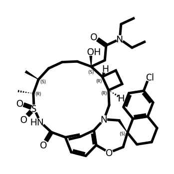 CCN(CC)C(=O)C[C@@]1(O)CCC[C@H](C)[C@@H](C)S(=O)(=O)NC(=O)c2ccc3c(c2)N(C[C@@H]2CC[C@H]21)C[C@@]1(CCCc2cc(Cl)ccc21)CO3